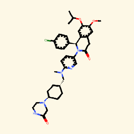 COc1cc2c(cc1OC(C)C)[C@H](c1ccc(Cl)cc1)N(c1ccc(N(C)C[C@H]3CC[C@H](N4CCNC(=O)C4)CC3)nc1)C(=O)C2